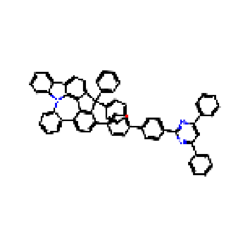 c1ccc(-c2cc(-c3ccccc3)nc(-c3ccc(-c4ccc(-c5ccc6c7c5C(c5ccccc5)(c5ccccc5)c5ccc8c9ccccc9n(c8c5-7)-c5ccccc5-6)cc4)cc3)n2)cc1